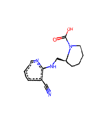 N#Cc1cccnc1NC[C@@H]1CCCCN1C(=O)O